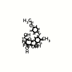 CCOc1ccc(Cc2cc([C@@H]3O[C@H](CO)C(F)(F)[C@H](O)[C@H]3O)c(O)cc2C)cc1